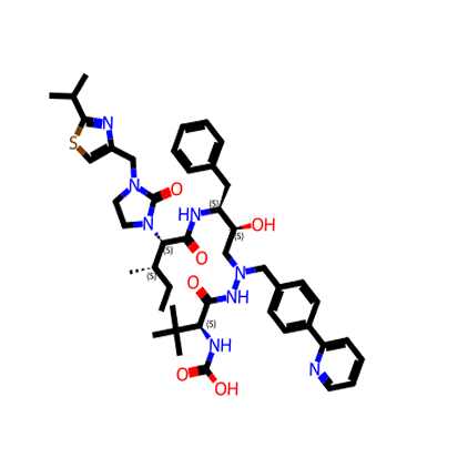 CC[C@H](C)[C@@H](C(=O)N[C@@H](Cc1ccccc1)[C@@H](O)CN(Cc1ccc(-c2ccccn2)cc1)NC(=O)[C@@H](NC(=O)O)C(C)(C)C)N1CCN(Cc2csc(C(C)C)n2)C1=O